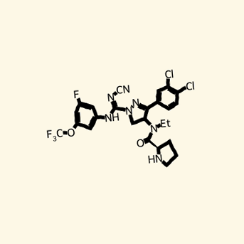 CCN(C(=O)[C@H]1CCCN1)C1CN(/C(=N\C#N)Nc2cc(F)cc(OC(F)(F)F)c2)N=C1c1ccc(Cl)c(Cl)c1